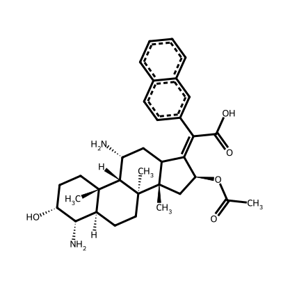 CC(=O)O[C@H]1C[C@@]2(C)C(C[C@@H](N)[C@H]3[C@@]4(C)CC[C@@H](O)[C@@H](N)[C@@H]4CC[C@@]32C)/C1=C(/C(=O)O)c1ccc2ccccc2c1